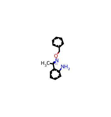 C/C(=N\OCc1ccccc1)c1ccccc1N